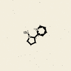 CC(C)(C)N1CCCC1c1ccccn1